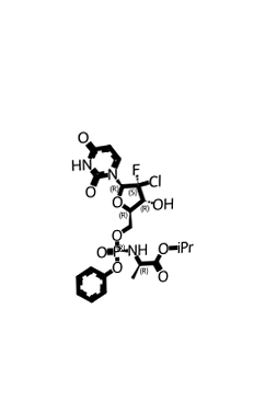 CC(C)OC(=O)[C@@H](C)N[P@@](=O)(OC[C@H]1O[C@@H](n2ccc(=O)[nH]c2=O)[C@@](F)(Cl)[C@@H]1O)Oc1ccccc1